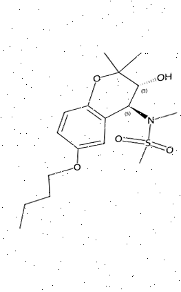 CCCCOc1ccc2c(c1)[C@H](N(C)S(C)(=O)=O)[C@@H](O)C(C)(C)O2